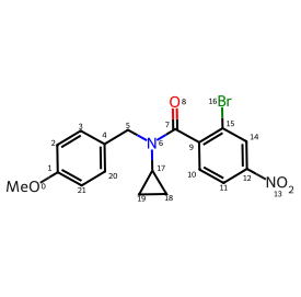 COc1ccc(CN(C(=O)c2ccc([N+](=O)[O-])cc2Br)C2CC2)cc1